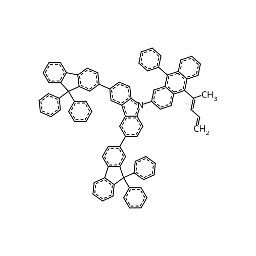 C=C/C=C(\C)c1c2ccccc2c(-c2ccccc2)c2cc(-n3c4ccc(-c5ccc6c(c5)C(c5ccccc5)(c5ccccc5)c5ccccc5-6)cc4c4cc(-c5ccc6c(c5)C(c5ccccc5)(c5ccccc5)c5ccccc5-6)ccc43)ccc12